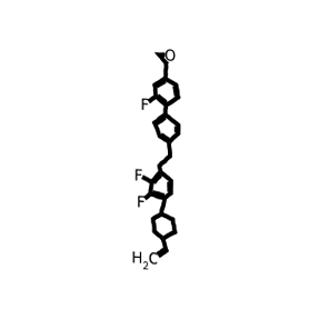 C=CC1CCC(c2ccc(CCc3ccc(-c4ccc(C5CO5)cc4F)cc3)c(F)c2F)CC1